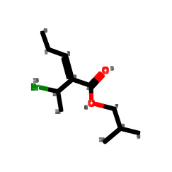 CC/C=C(/C(=O)OCC(C)C)C(C)Br